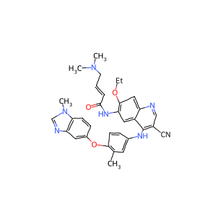 CCOc1cc2ncc(C#N)c(Nc3ccc(Oc4ccc5c(c4)ncn5C)c(C)c3)c2cc1NC(=O)/C=C/CN(C)C